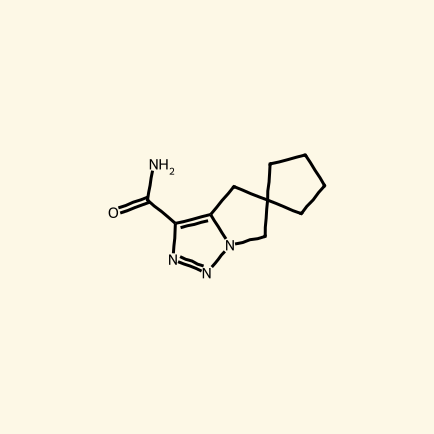 NC(=O)c1nnn2c1CC1(CCCC1)C2